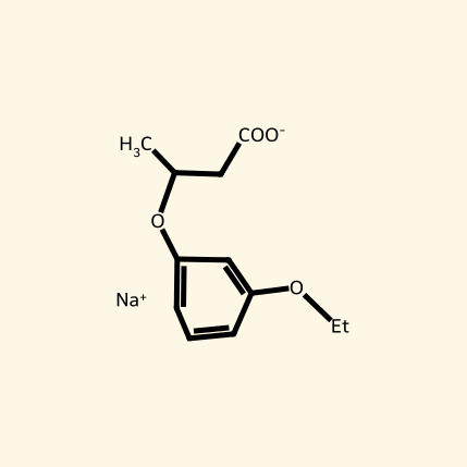 CCOc1cccc(OC(C)CC(=O)[O-])c1.[Na+]